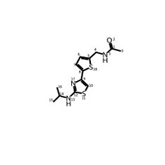 CC(=O)NCc1ccc(-c2csc(NC(C)C)n2)s1